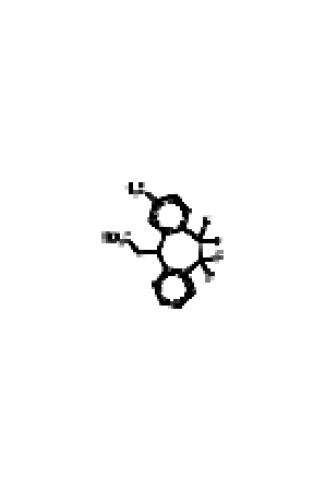 Cc1ccc2c(c1)C(CC(=O)O)c1ccccc1C(F)(F)C2(F)F